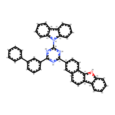 c1ccc(-c2cccc(-c3nc(-c4ccc5c(ccc6c7ccccc7oc56)c4)nc(-n4c5ccccc5c5ccccc54)n3)c2)cc1